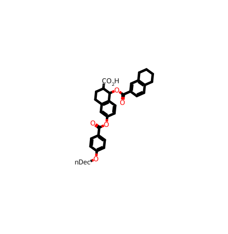 CCCCCCCCCCOc1ccc(C(=O)Oc2ccc3c(c2)CCC(C(=O)O)C3OC(=O)c2ccc3c(c2)CCCC3)cc1